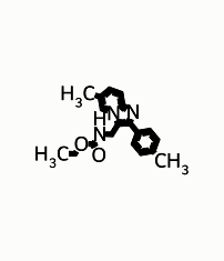 CCOC(=O)NCc1c(-c2ccc(C)cc2)nc2ccc(C)cn12